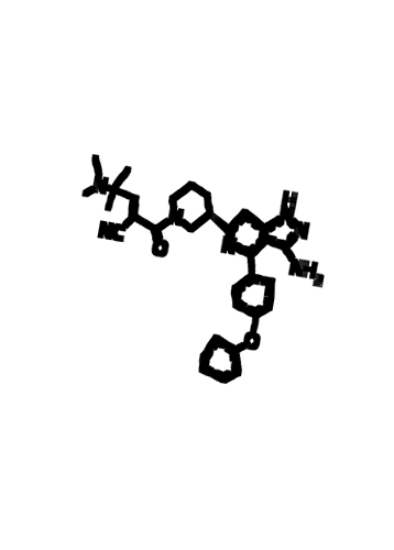 CN(C)C(C)(C)C=C(C#N)C(=O)N1CCC[C@@H](c2cc3[nH]nc(N)c3c(-c3ccc(Oc4ccccc4)cc3)n2)C1